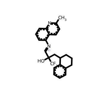 Cc1ccc2c(/N=C/C(O)(CC3CCCc4ccccc43)C(F)(F)F)cccc2n1